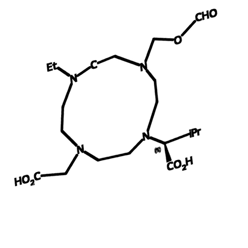 CCN1CCN(COC=O)CCN([C@H](C(=O)O)C(C)C)CCN(CC(=O)O)CC1